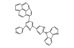 c1cc2ccc3ccc(-c4cc(-c5ccncc5)nc(-c5ccc(-n6c7ccccc7c7ncccc76)nc5)c4)c4ccc(c1)c2c34